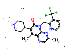 Cc1cnc2c(C)c(C3CCNCC3)c(=O)n(Cc3ncccc3C(F)(F)F)c2n1